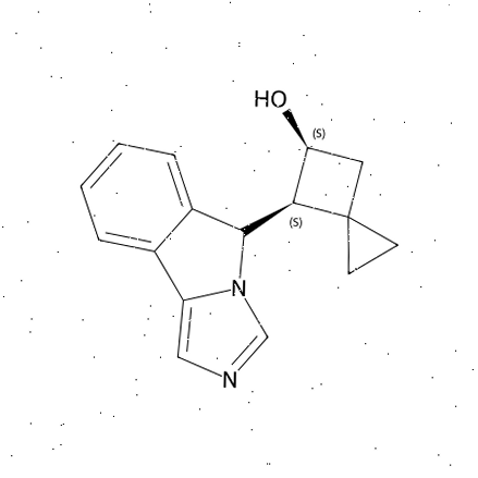 O[C@H]1CC2(CC2)[C@H]1C1c2ccccc2-c2cncn21